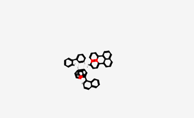 c1ccc(-c2cccc3cccc(-c4ccc(N(c5ccc6oc7ccc8ccccc8c7c6c5)c5cccc6c7ccccc7n(-c7ccccc7)c56)cc4)c23)cc1